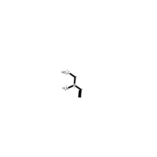 C=CN(N)CC(=O)O